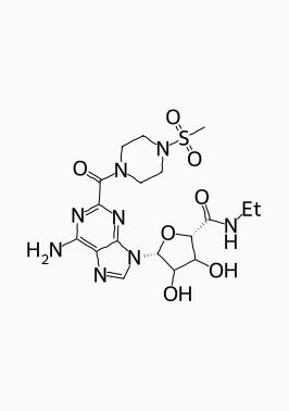 CCNC(=O)[C@H]1O[C@@H](n2cnc3c(N)nc(C(=O)N4CCN(S(C)(=O)=O)CC4)nc32)C(O)C1O